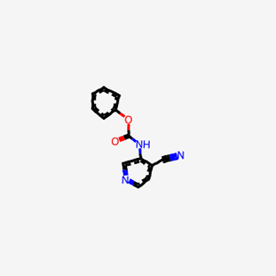 N#Cc1ccncc1NC(=O)Oc1ccccc1